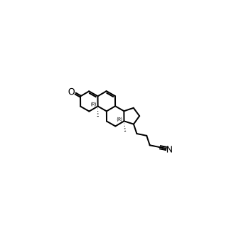 C[C@]12CCC3C(C=CC4=CC(=O)CC[C@@]43C)C1CCC2CCCC#N